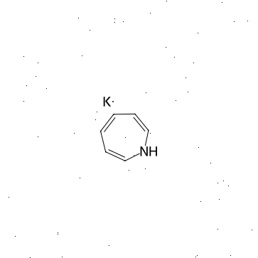 C1=CC=CNC=C1.[K]